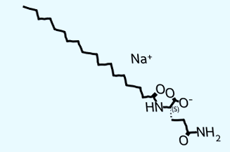 CCCCCCCCCCCCCCCCCC(=O)N[C@@H](CCC(N)=O)C(=O)[O-].[Na+]